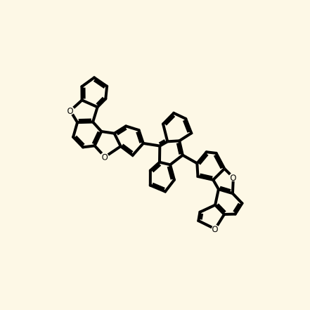 c1ccc2c(c1)oc1ccc3oc4cc(-c5c6ccccc6c(-c6ccc7oc8ccc9occc9c8c7c6)c6ccccc56)ccc4c3c12